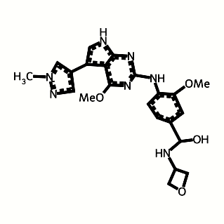 COc1cc(C(O)NC2COC2)ccc1Nc1nc(OC)c2c(-c3cnn(C)c3)c[nH]c2n1